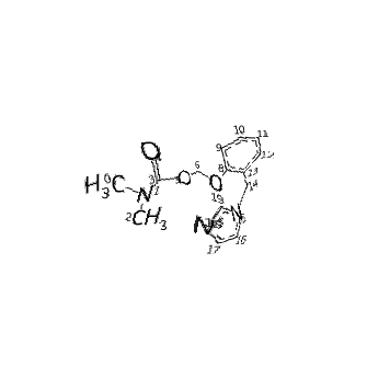 CN(C)C(=O)OCOc1ccccc1Cn1ccnc1